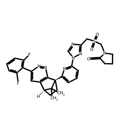 CC1(C)[C@H]2CC[C@@]1(c1cccc(-n3cnc(CS(=O)(=O)CN4CCCC4=O)n3)n1)c1nnc(-c3c(F)cccc3F)cc12